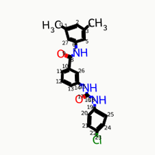 Cc1cc(C)cc(NC(=O)c2cccc(NC(=O)Nc3ccc(Cl)cc3)c2)c1